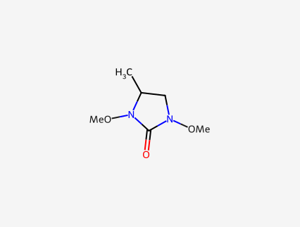 CON1CC(C)N(OC)C1=O